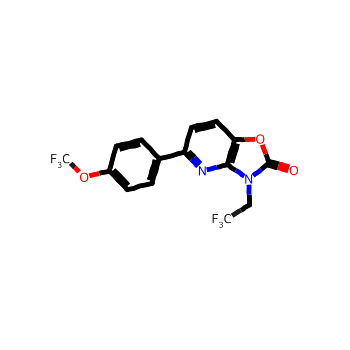 O=c1oc2ccc(-c3ccc(OC(F)(F)F)cc3)nc2n1CC(F)(F)F